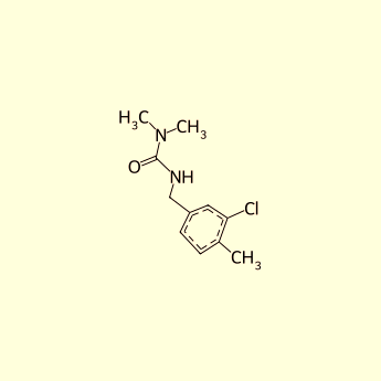 Cc1ccc(CNC(=O)N(C)C)cc1Cl